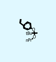 C=Cc1ccc(OC(C)(OCCC)C(C)(C)C)cc1